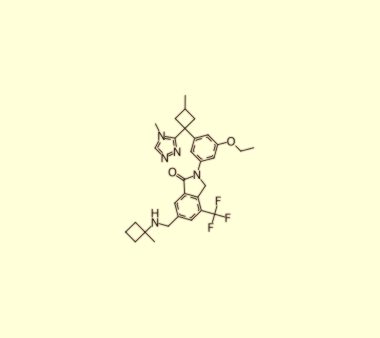 CCOc1cc(N2Cc3c(cc(CNC4(C)CCC4)cc3C(F)(F)F)C2=O)cc(C2(c3nncn3C)CC(C)C2)c1